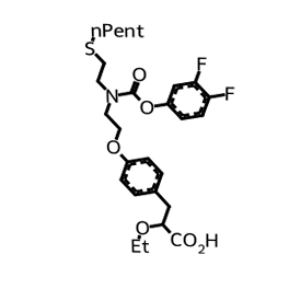 CCCCCSCCN(CCOc1ccc(CC(OCC)C(=O)O)cc1)C(=O)Oc1ccc(F)c(F)c1